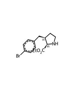 CCOC(=O)[C@@H]1NCC[C@@H]1Cc1ccc(Br)cc1